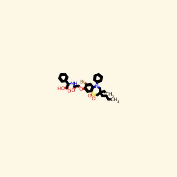 CCCCC1(CC)CN(c2ccccc2)c2cc(Br)c(OCC(=O)N[C@@H](C(=O)O)c3ccccc3)cc2S(=O)(=O)C1